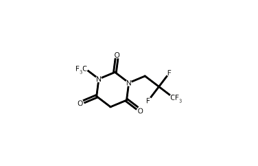 O=C1CC(=O)N(C(F)(F)F)C(=O)N1CC(F)(F)C(F)(F)F